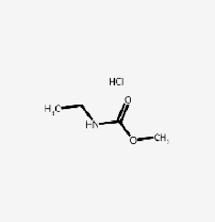 CCNC(=O)OC.Cl